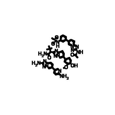 CC(=O)Nc1nc2ccc(-c3cccc(NS(C)(=O)=O)c3)cn2n1.COc1cc(-c2ccc3nc(C(C(N)=O)C(C)(C)C)nn3c2)ccc1O.Nc1ccc(-c2ccc3nc(N)nn3c2)cn1